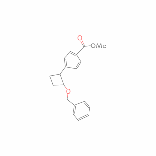 COC(=O)c1ccc(C2CCC2OCc2ccccc2)cc1